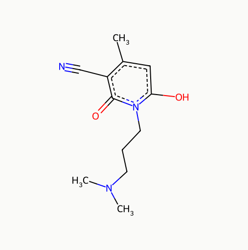 Cc1cc(O)n(CCCN(C)C)c(=O)c1C#N